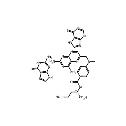 CN(Cc1cnc2nc(N)nc(N)c2n1)c1ccc(C(=O)N[C@@H](CCC(=O)O)C(=O)O)cc1.Nc1nc2[nH]cnc2c(=O)[nH]1.S=c1nc[nH]c2nc[nH]c12